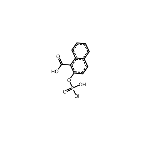 O=C(O)c1c(OP(=O)(O)O)ccc2ccccc12